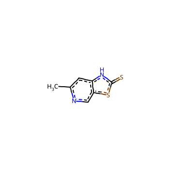 Cc1cc2[nH]c(=S)sc2cn1